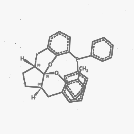 Cc1cccc2c1O[C@]13Oc4c(cccc4P(c4ccccc4)c4ccccc4)C[C@H]1CC[C@@H]3C2